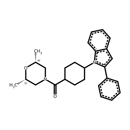 C[C@@H]1CN(C(=O)C2CCC(n3c(-c4ccccc4)cc4ccccc43)CC2)C[C@H](C)O1